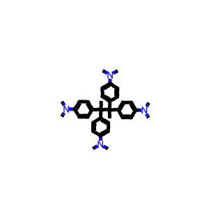 CN(C)c1ccc(C(C)(c2ccc(N(C)C)cc2)C(C)(c2ccc(N(C)C)cc2)c2ccc(N(C)C)cc2)cc1